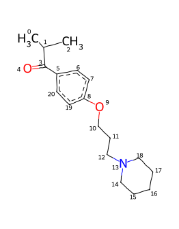 CC(C)C(=O)c1ccc(OCCCN2CCCCC2)cc1